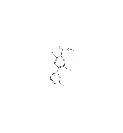 COC(=O)c1nc(C#N)c(-c2cccc(Cl)c2)cc1O